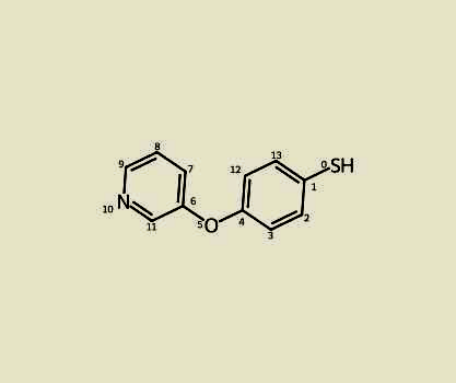 Sc1ccc(Oc2cccnc2)cc1